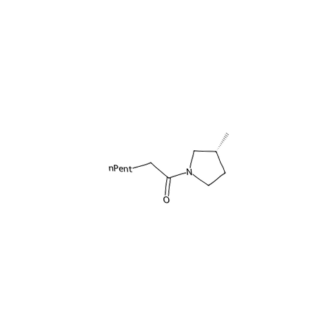 CCCCCCC(=O)N1CC[C@@H](C)C1